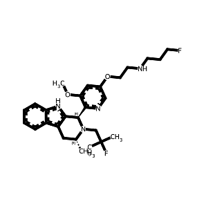 COc1cc(OCCNCCCF)cnc1[C@@H]1c2[nH]c3ccccc3c2C[C@@H](C)N1CC(C)(C)F